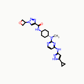 CN(c1nccc(Nc2cc(C3CC3)[nH]n2)n1)[C@H]1CC[C@H](NC(=O)c2cn(C3COC3)nn2)CC1